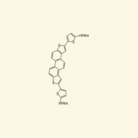 CCCCCCc1ccc(-c2cc3c(ccc4c3ccc3c5cc(-c6ccc(CCCCCC)s6)sc5ccc34)s2)s1